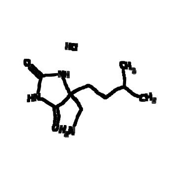 CC(C)CCC1(CN)NC(=O)NC1=O.Cl